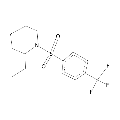 CCC1CCCCN1S(=O)(=O)c1ccc(C(F)(F)F)cc1